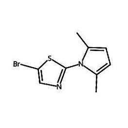 Cc1ccc(C)n1-c1ncc(Br)s1